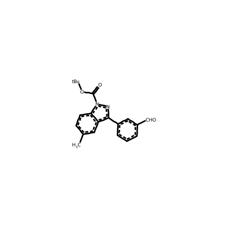 Cc1ccc2c(c1)c(-c1cccc(C=O)c1)nn2C(=O)OC(C)(C)C